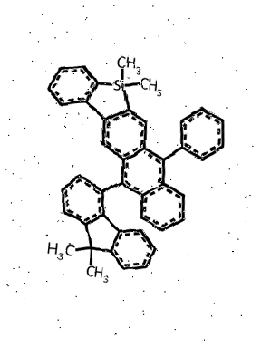 CC1(C)c2ccccc2-c2c(-c3c4ccccc4c(-c4ccccc4)c4cc5c(cc34)-c3ccccc3[Si]5(C)C)cccc21